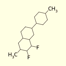 CC1CCC(C2CCC3CC(C)C(F)C(F)C3C2)CC1